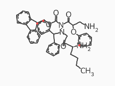 CCCC[C@H](N)C(=O)CN(C(c1ccccc1)c1ccccc1)N(C(=O)OCC1c2ccccc2-c2ccccc21)C(=O)C(CN)Oc1ccccc1